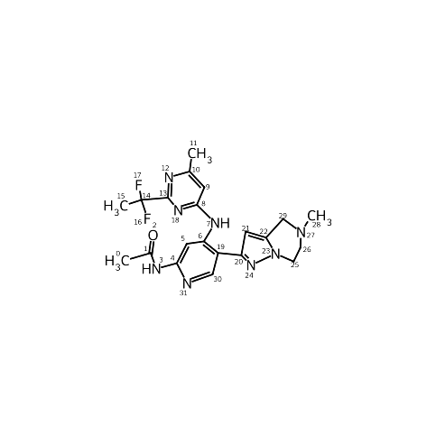 CC(=O)Nc1cc(Nc2cc(C)nc(C(C)(F)F)n2)c(-c2cc3n(n2)CCN(C)C3)cn1